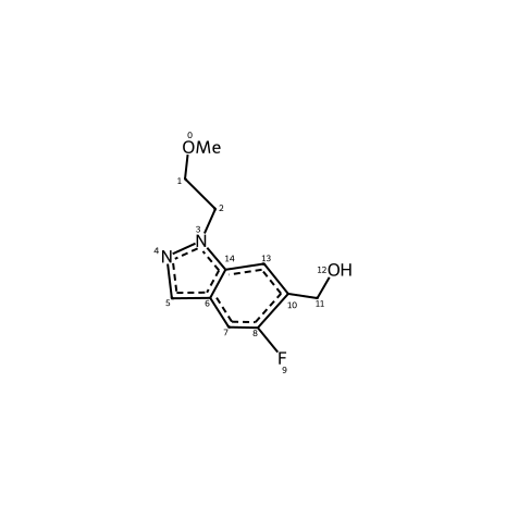 COCCn1ncc2cc(F)c(CO)cc21